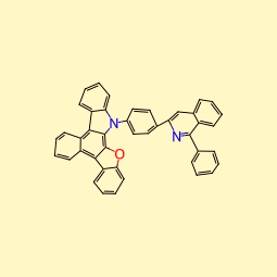 c1ccc(-c2nc(-c3ccc(-n4c5ccccc5c5c6ccccc6c6c7ccccc7oc6c54)cc3)cc3ccccc23)cc1